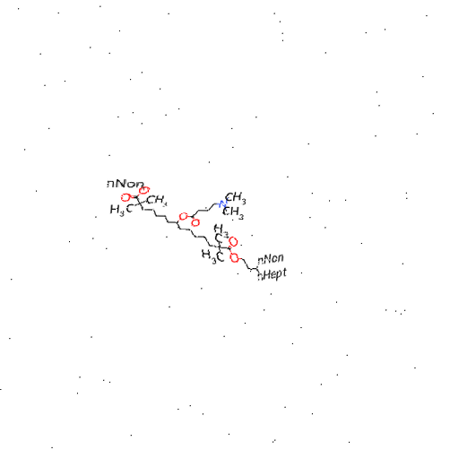 CCCCCCCCCOC(=O)C(C)(C)CCCCCC(CCCCCC(C)(C)C(=O)OCCC(CCCCCCC)CCCCCCCCC)OC(=O)CCCN(C)C